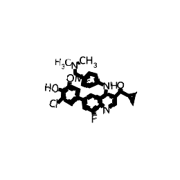 COc1cc(-c2cc(F)c3ncc(C(=O)C4CC4)c(Nc4ccc(CN(C)C)cc4)c3c2)cc(Cl)c1O